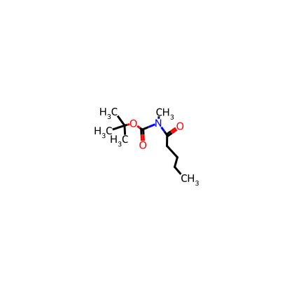 CCCCC(=O)N(C)C(=O)OC(C)(C)C